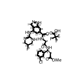 COC(=O)C[C@H](NC(=O)CNC(=O)c1cc(NC2=NCC(F)CN2)c2cn[nH]c2c1)c1cccc(Cl)c1.O=C(O)C(F)(F)F